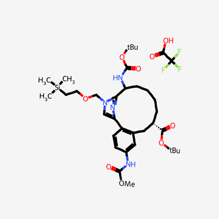 COC(=O)Nc1ccc2c(c1)C[C@@H](C(=O)OC(C)(C)C)CCCCC(NC(=O)OC(C)(C)C)c1nc-2cn1COCC[Si](C)(C)C.O=C(O)C(F)(F)F